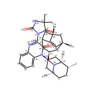 C[C@@H]1CC[C@H]2C[C@@H](n3c(=O)c(N4C(=O)NC(C)(C)C4=O)nc4ccccc43)C[C@@H]1N2C[C@@H]1C[C@@H]2C=C3[C@@H](C2)C[C@@H]3C1